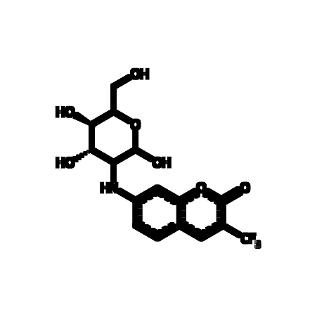 O=c1oc2cc(NC3C(O)OC(CO)[C@H](O)[C@H]3O)ccc2cc1C(F)(F)F